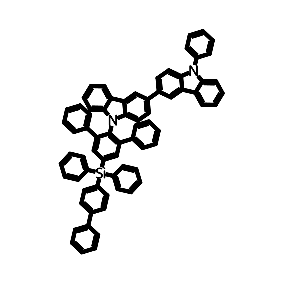 c1ccc(-c2ccc([Si](c3ccccc3)(c3ccccc3)c3cc(-c4ccccc4)c(-n4c5ccccc5c5cc(-c6ccc7c(c6)c6ccccc6n7-c6ccccc6)ccc54)c(-c4ccccc4)c3)cc2)cc1